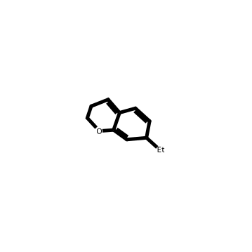 CCC1C=CC2=CCCOC2=C1